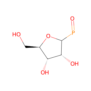 O=PC1O[C@H](CO)[C@@H](O)[C@H]1O